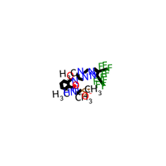 Cc1cccc(C(=O)Nc2cnc(Cn3cc(C(F)(F)C(F)(F)F)c(C(F)(F)C(F)(F)F)n3)nc2C)c1C(=O)N[C@@H](C)C[S+](C)[O-]